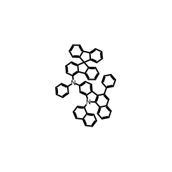 c1ccc(-c2cc3ccccc3c3c2c2ccc(N(c4ccccc4)c4cccc5c4-c4ccccc4C54c5ccccc5-c5ccccc54)cc2n3-c2cccc3ccccc23)cc1